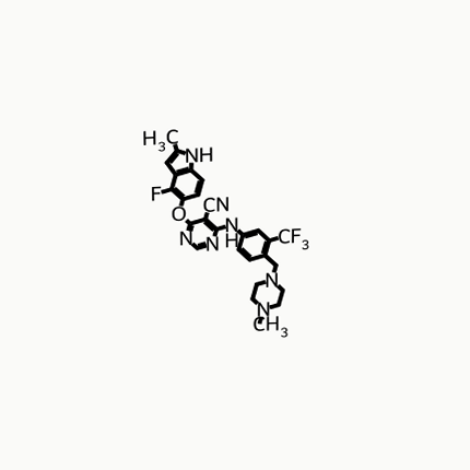 Cc1cc2c(F)c(Oc3ncnc(Nc4ccc(CN5CCN(C)CC5)c(C(F)(F)F)c4)c3C#N)ccc2[nH]1